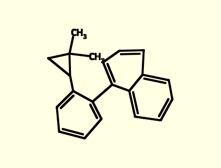 CC1(C)CC1c1ccccc1-c1cccc2ccccc12